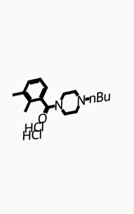 CCCCN1CCN(C(=O)c2cccc(C)c2C)CC1.Cl.Cl